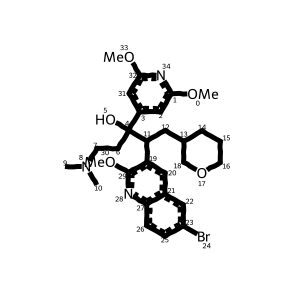 COc1cc(C(O)(CCN(C)C)C(CC2CCCOC2)c2cc3cc(Br)ccc3nc2OC)cc(OC)n1